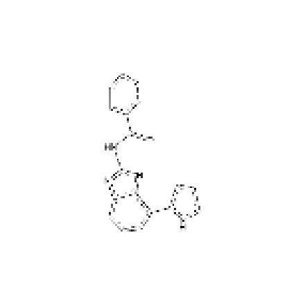 O=C(Nc1nc2cccc(-c3ccc[nH]3)n2n1)c1ccccc1